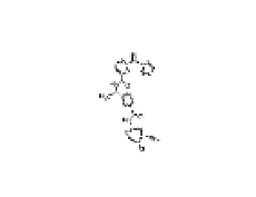 CC(NC(=O)c1cc(Nc2nccs2)ncn1)c1ncc(C(=O)Nc2ncc(Cl)c(C(C)(C)C)n2)s1